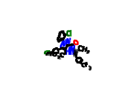 CCOC(=O)Cc1c(C(=O)N[C@H](C)c2ccc(C(F)(F)F)cc2)nn(-c2ccccc2Cl)c1-c1ccc(Cl)cc1